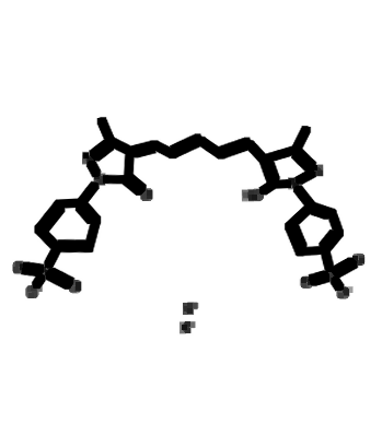 CC1=NN(c2ccc(S(=O)(=O)[O-])cc2)C(=O)C1=CC=CC=Cc1c(C)nn(-c2ccc(S(=O)(=O)[O-])cc2)c1O.[K+].[K+]